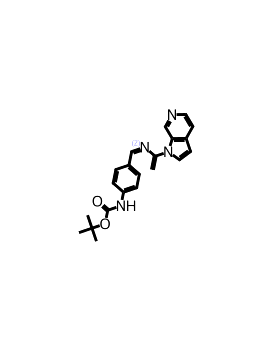 C=C(/N=C\c1ccc(NC(=O)OC(C)(C)C)cc1)n1ccc2ccncc21